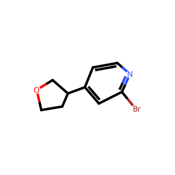 Brc1cc(C2CCOC2)ccn1